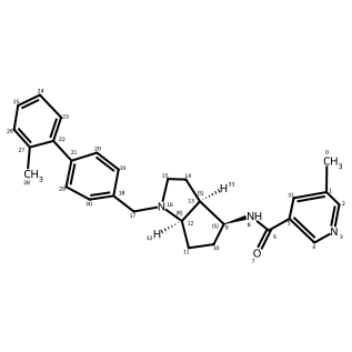 Cc1cncc(C(=O)N[C@H]2CC[C@@H]3[C@H]2CCN3Cc2ccc(-c3ccccc3C)cc2)c1